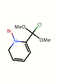 COC(Cl)(OC)C1=CC=CCN1Br